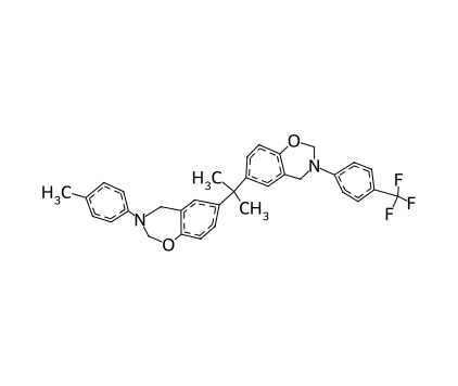 Cc1ccc(N2COc3ccc(C(C)(C)c4ccc5c(c4)CN(c4ccc(C(F)(F)F)cc4)CO5)cc3C2)cc1